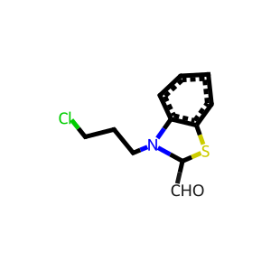 O=CC1Sc2ccccc2N1CCCCl